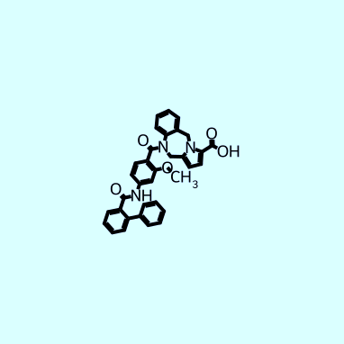 COc1cc(NC(=O)c2ccccc2-c2ccccc2)ccc1C(=O)N1Cc2ccc(C(=O)O)n2Cc2ccccc21